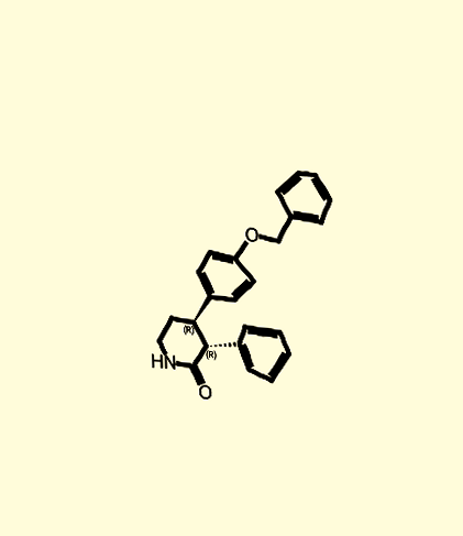 O=C1NCC[C@@H](c2ccc(OCc3ccccc3)cc2)[C@@H]1c1ccccc1